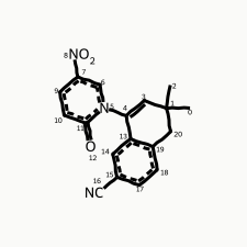 CC1(C)C=C(n2cc([N+](=O)[O-])ccc2=O)c2cc(C#N)ccc2C1